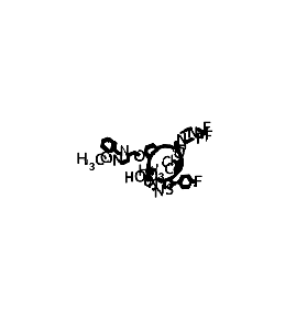 COc1ccccc1-c1nccc(COc2ccc3cc2C[C@H](C(=O)O)Oc2ncnc4sc(-c5ccc(F)cc5)c(c24)-c2ccc(c(Cl)c2C)O[C@H](CN2CCN(CC(F)(F)F)CC2)CC3)n1